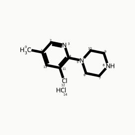 Cc1cnc(N2CCNCC2)c(Cl)c1.Cl